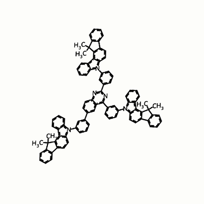 CC1(C)c2ccccc2-c2ccc3c(c21)c1ccccc1n3-c1cccc(-c2ccc3nc(-c4cccc(-n5c6ccccc6c6c7c(ccc65)-c5ccccc5C7(C)C)c4)nc(-c4cccc(-n5c6ccccc6c6c7c(ccc65)-c5ccccc5C7(C)C)c4)c3c2)c1